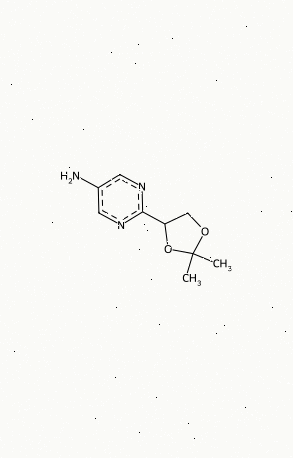 CC1(C)OCC(c2ncc(N)cn2)O1